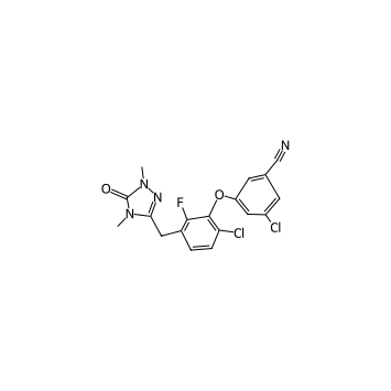 Cn1nc(Cc2ccc(Cl)c(Oc3cc(Cl)cc(C#N)c3)c2F)n(C)c1=O